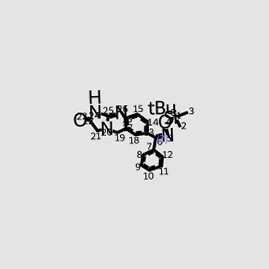 CC(C)(C)[Si](C)(C)O/N=C(/c1ccccc1)c1ccc2c(c1)CN1CC(=O)NC1=N2